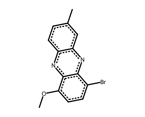 COc1ccc(Br)c2nc3cc(C)ccc3nc12